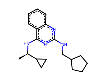 C[C@@H](Nc1nc(NCC2CCCC2)nc2ccccc12)C1CC1